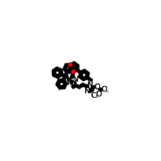 CCCCc1nc(Cl)c(OC(=O)OC)n1Cc1ccc(-c2ccccc2-c2nnnn2C(c2ccccc2)(c2ccccc2)c2ccccc2)cc1